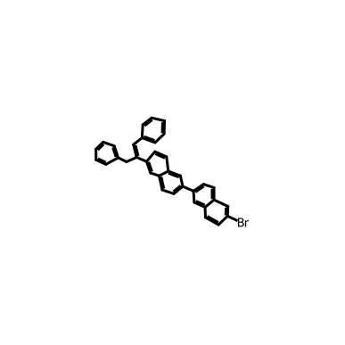 Brc1ccc2cc(-c3ccc4cc(/C(=C\c5ccccc5)Cc5ccccc5)ccc4c3)ccc2c1